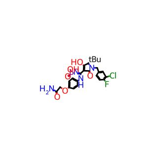 CC(C)(C)C1C(O)=C(C2=NP(=O)(O)c3cc(OCC(N)=O)ccc3N2)C(=O)N1Cc1ccc(F)c(Cl)c1